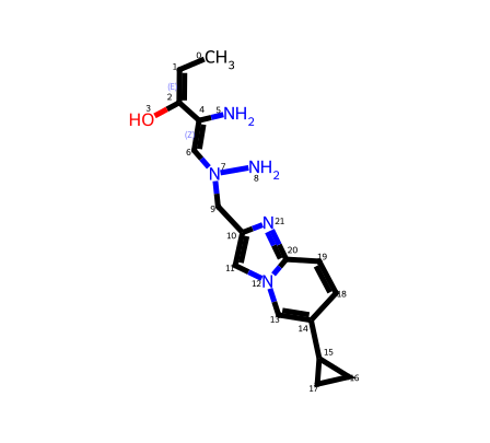 C/C=C(O)\C(N)=C\N(N)Cc1cn2cc(C3CC3)ccc2n1